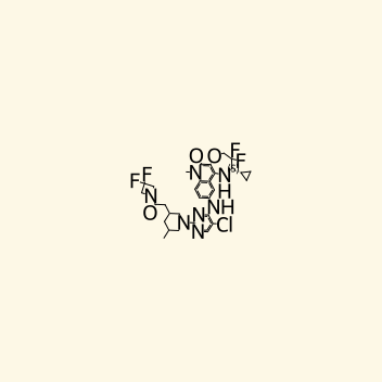 CC1CC(CC(=O)N2CC(F)(F)C2)CN(c2ncc(Cl)c(Nc3ccc4c(c3)c3c(c(=O)n4C)OCC(F)(F)[C@H](C4CC4)N3)n2)C1